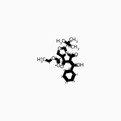 CCOC(=O)[C@]12CO[C@H](C(C)(C)C)N1C(=O)/C(=C(\O)c1ccccc1)C2=O